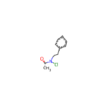 CC(=O)N(Cl)CCc1ccccc1